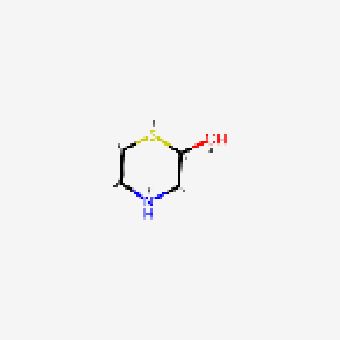 OC1CNCCS1